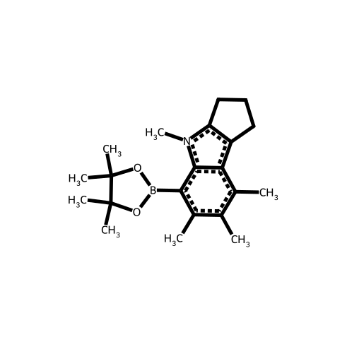 Cc1c(C)c(B2OC(C)(C)C(C)(C)O2)c2c(c1C)c1c(n2C)CCC1